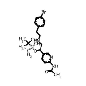 CC(=O)Nc1ccc([C@H](CNCCc2ccc(Br)cc2)O[Si](C)(C)C(C)(C)C)cn1